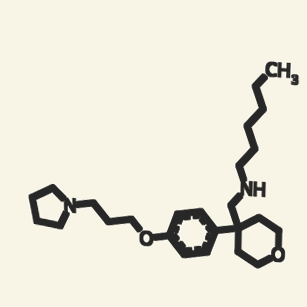 CCCCCCNCC1(c2ccc(OCCCN3CCCC3)cc2)CCOCC1